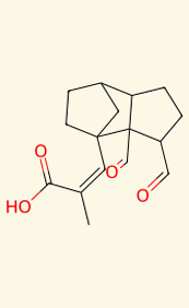 CC(=CC12CCC(C1)C1CCC(C=O)C12C=O)C(=O)O